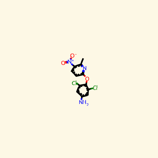 Cc1nc(Oc2c(Cl)cc(N)cc2Cl)ccc1[N+](=O)[O-]